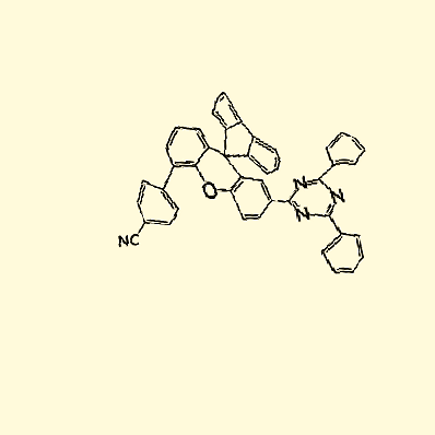 N#Cc1ccc(-c2cccc3c2Oc2ccc(-c4nc(-c5ccccc5)nc(-c5ccccc5)n4)cc2C32c3ccccc3-c3ccccc32)cc1